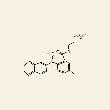 CCOC(=O)CCNC(=O)c1cc(I)ccc1N(C)c1ccc2ccccc2c1